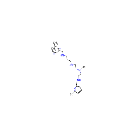 C=C/C=C(\C=C/C)CNCCCNCCN(CCC)CCNCc1cccc(CC)n1